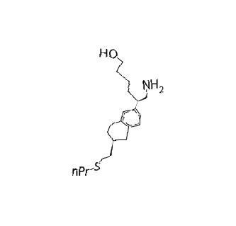 CCCSCC[C@H]1CCc2cc([C@H](CN)CCCCO)ccc2C1